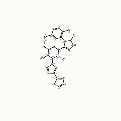 CC1NN=C([C@@H]2O[C@H](CO)[C@H](O)[C@H](n3cc(-c4nccs4)nn3)[C@H]2O)N1c1cc(Cl)ccc1Br